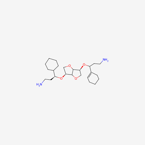 NCCC(O[C@H]1COC2C1OC[C@@H]2O[C@@H](CCN)C1CCCCC1)C1=CCCCC1